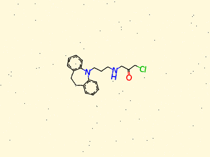 O=C(CCl)CNCCCN1c2ccccc2CCc2ccccc21